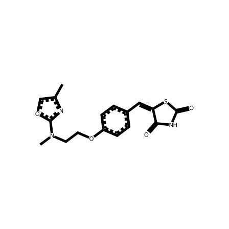 Cc1coc(N(C)CCOc2ccc(/C=C3/SC(=O)NC3=O)cc2)n1